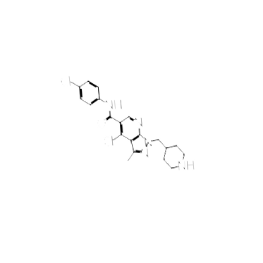 Cc1nn(CC2CCNCC2)c2ncc(C(=O)Nc3ccc(Cl)cc3)c(Cl)c12